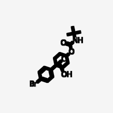 CC(C)(C)NC(=O)OC12CCC(c3ccc(Br)cc3)(CC1)C(O)C2